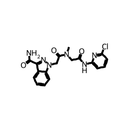 CN(CC(=O)Nc1cccc(Cl)n1)C(=O)Cn1nc(C(N)=O)c2ccccc21